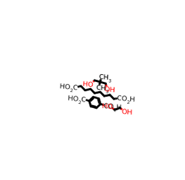 CC(C)(CO)CO.O=C(O)CCCCCCCCC(=O)O.O=C(O)c1ccc(C(=O)O)cc1.OCCO